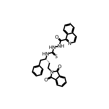 O=C(NNC(=S)N[C@H](CCN1C(=O)c2ccccc2C1=O)Cc1ccccc1)c1nccc2c[c]ccc12